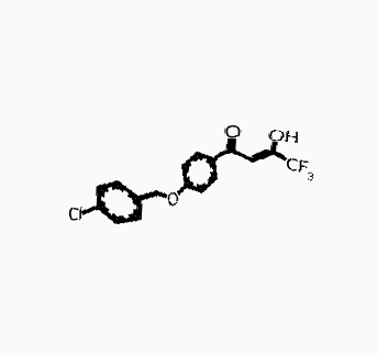 O=C(C=C(O)C(F)(F)F)c1ccc(OCc2ccc(Cl)cc2)cc1